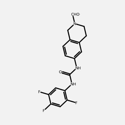 O=[C]N1CCc2cc(NC(=O)Nc3cc(F)c(F)cc3F)ccc2C1